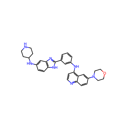 c1cc(Nc2ccnc3ccc(N4CCOCC4)cc23)cc(-c2nc3cc(NC4CCNCC4)ccc3[nH]2)c1